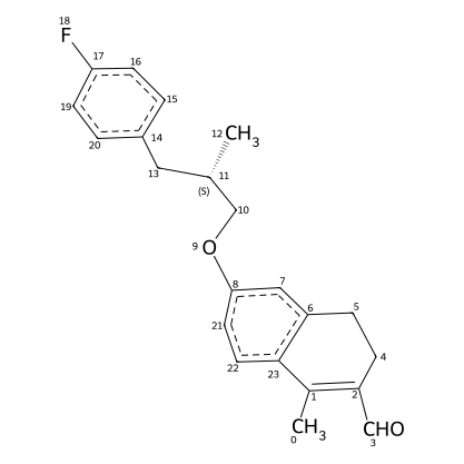 CC1=C(C=O)CCc2cc(OC[C@@H](C)Cc3ccc(F)cc3)ccc21